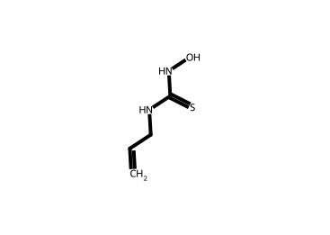 C=CCNC(=S)NO